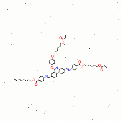 C=CCCCCCCOC(=O)c1ccc(N=Cc2ccc3c(c2)c(OC2=CC=C(OCCCCCCOC(=O)C=C)CC2)nc2cc(C=Nc4ccc(C(=O)OCCCCCCOC(=O)C=C)cc4)ccc23)cc1